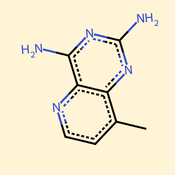 Cc1ccnc2c(N)nc(N)nc12